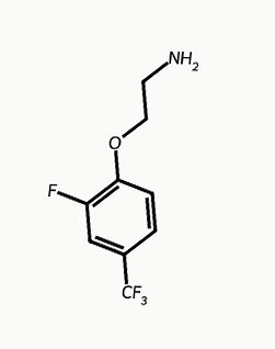 NCCOc1ccc(C(F)(F)F)cc1F